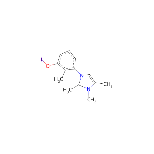 CC1=CN(c2cccc(OI)c2C)C(C)N1C